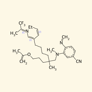 C=Nc1ccc(C#N)cc1N(C)CC(C)(CCCCC(/C=C\CC)=C/N=C(\C)C(F)(F)F)CCCOC(=C)C